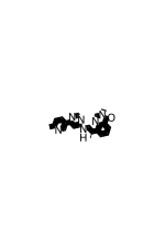 Cc1ccc(-c2cc(NC[C@@H](C)c3cccc4c(=O)n(C)cnc34)ncn2)cn1